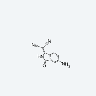 N#CC(C#N)=C1NC(=O)c2cc(N)ccc21